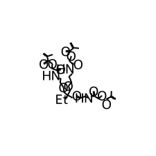 C=C(C)C(=O)OCC(=O)NCCCOCC(CC)(COCCNC(=O)COC(=O)C(=C)C)COCCNC(=O)COC(=O)C(=C)C